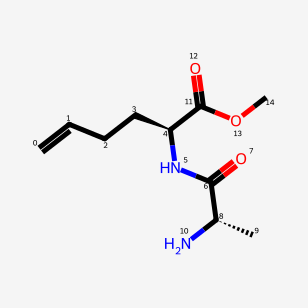 C=CCC[C@H](NC(=O)[C@H](C)N)C(=O)OC